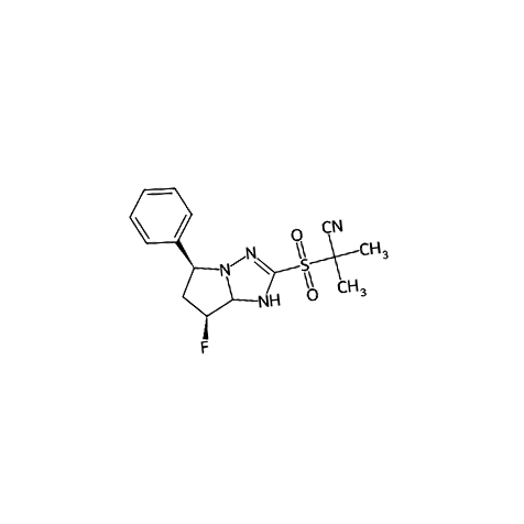 CC(C)(C#N)S(=O)(=O)C1=NN2C(N1)[C@@H](F)C[C@H]2c1ccccc1